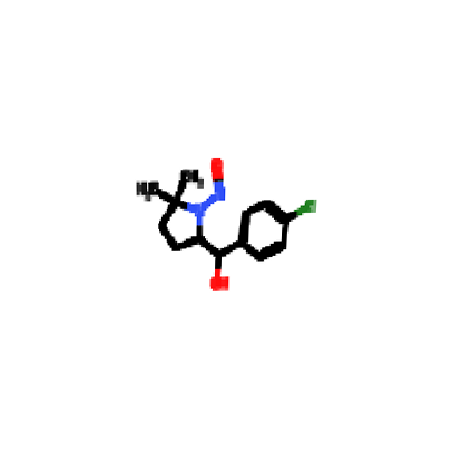 CC1(C)CCC(C(O)c2ccc(Cl)cc2)N1N=O